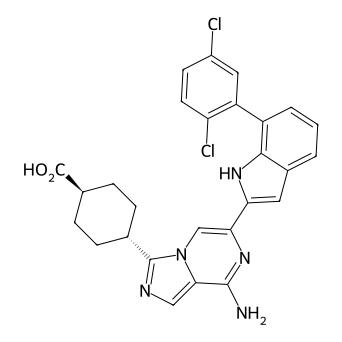 Nc1nc(-c2cc3cccc(-c4cc(Cl)ccc4Cl)c3[nH]2)cn2c1cnc2[C@H]1CC[C@H](C(=O)O)CC1